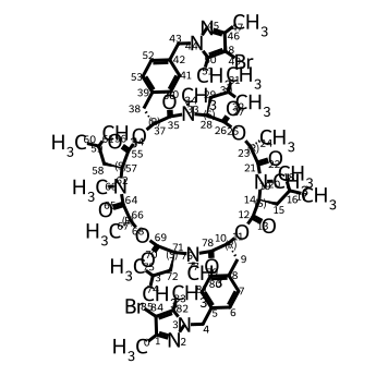 Cc1nn(Cc2ccc(C[C@H]3OC(=O)[C@H](CC(C)C)N(C)C(=O)[C@@H](C)OC(=O)[C@H](CC(C)C)N(C)C(=O)[C@@H](Cc4ccc(Cn5nc(C)c(Br)c5C)cc4)OC(=O)[C@H](CC(C)C)N(C)C(=O)[C@@H](C)OC(=O)[C@H](CC(C)C)N(C)C3=O)cc2)c(C)c1Br